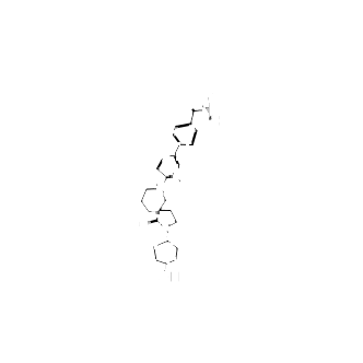 CN(C)C(=O)c1ccc(-c2ccc(N3CCC[C@]4(CCN([C@H]5CC[C@H](O)CC5)C4=O)C3)nc2)cc1